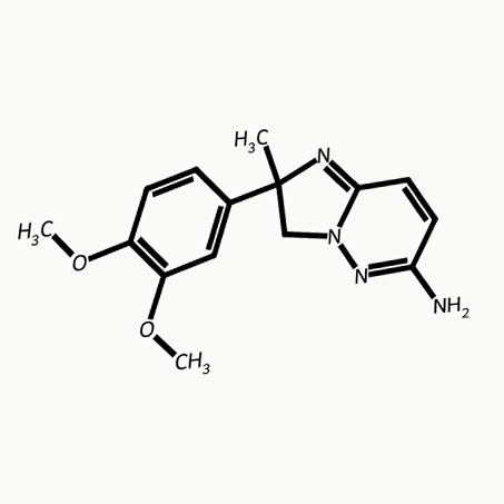 COc1ccc(C2(C)CN3N=C(N)C=CC3=N2)cc1OC